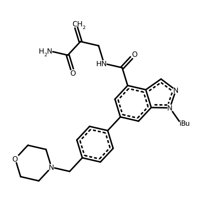 C=C(CNC(=O)c1cc(-c2ccc(CN3CCOCC3)cc2)cc2c1cnn2C(C)CC)C(N)=O